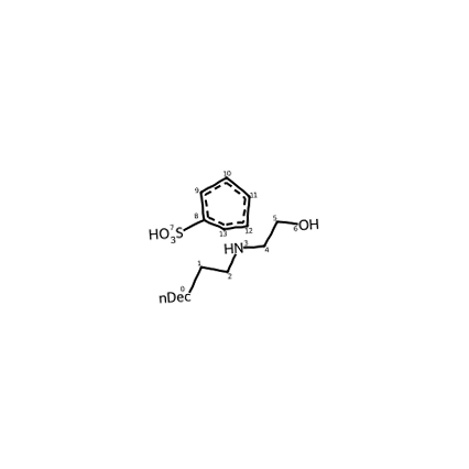 CCCCCCCCCCCCNCCO.O=S(=O)(O)c1ccccc1